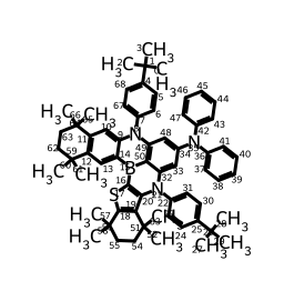 CC(C)(C)c1ccc(N2c3cc4c(cc3B3c5sc6c(c5N(c5ccc(C(C)(C)C)cc5)c5cc(N(c7ccccc7)c7ccccc7)cc2c53)C(C)(C)CCC6(C)C)C(C)(C)CCC4(C)C)cc1